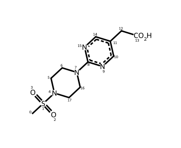 CS(=O)(=O)N1CCN(c2ncc(CC(=O)O)cn2)CC1